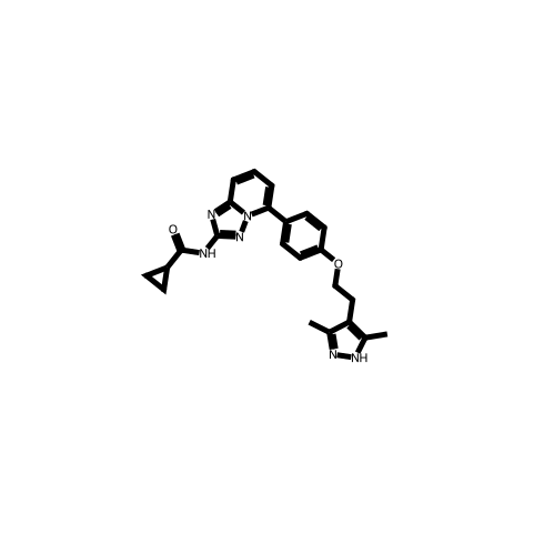 Cc1n[nH]c(C)c1CCOc1ccc(-c2cccc3nc(NC(=O)C4CC4)nn23)cc1